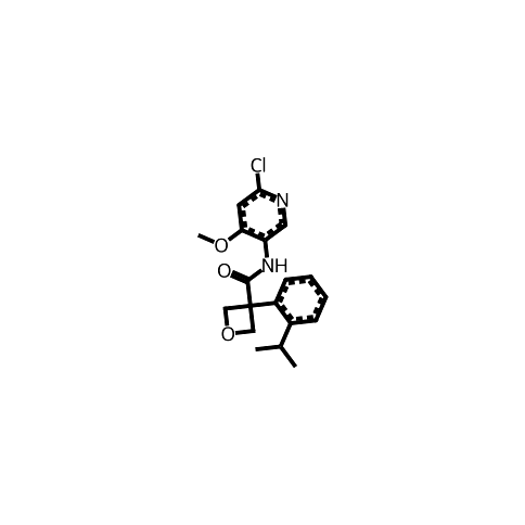 COc1cc(Cl)ncc1NC(=O)C1(c2ccccc2C(C)C)COC1